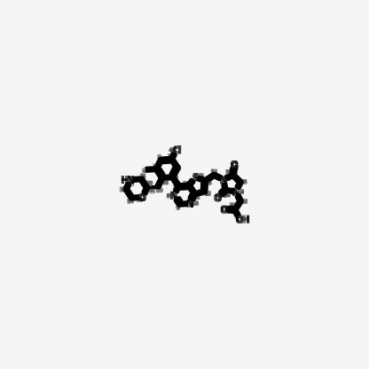 Cc1cc(Cl)cc(-c2ncnc3cc(CN4C(=O)CN(CC(=O)O)C4=O)sc23)c1C[C@@H]1CNCCO1